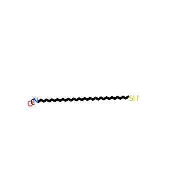 O=C=NCCCCCCCCCCCCCCCCCCCCCCCCCCCCCCCCCCS